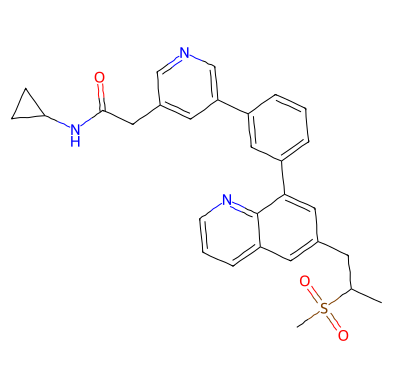 CC(Cc1cc(-c2cccc(-c3cncc(CC(=O)NC4CC4)c3)c2)c2ncccc2c1)S(C)(=O)=O